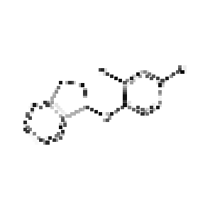 Clc1ccc(OC2CCc3ccccc32)c(Cl)c1